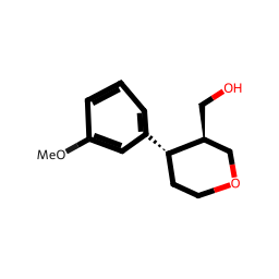 COc1cccc([C@H]2CCOC[C@@H]2CO)c1